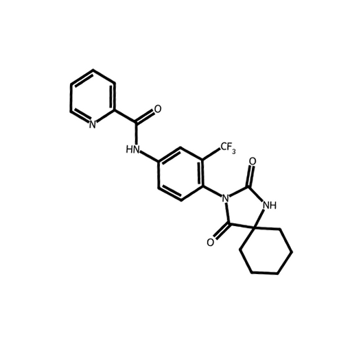 O=C(Nc1ccc(N2C(=O)NC3(CCCCC3)C2=O)c(C(F)(F)F)c1)c1ccccn1